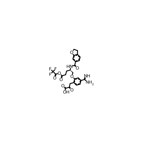 N=C(N)c1ccc(CC(=O)C(=O)O)c(OC[C@@H](CCC(=O)OC(=O)C(F)(F)F)NC(=O)c2ccc3c(c2)OCC3)c1